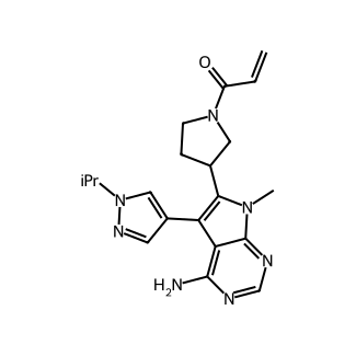 C=CC(=O)N1CCC(c2c(-c3cnn(C(C)C)c3)c3c(N)ncnc3n2C)C1